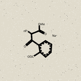 CCCC(C(=O)OC)C(=O)c1ccccc1C(=O)[O-].[Na+]